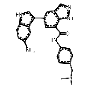 CN(C)Cc1ccc(NC(=O)c2cc(-c3c[nH]c4cnc(N)cc34)cc3cn[nH]c23)cc1